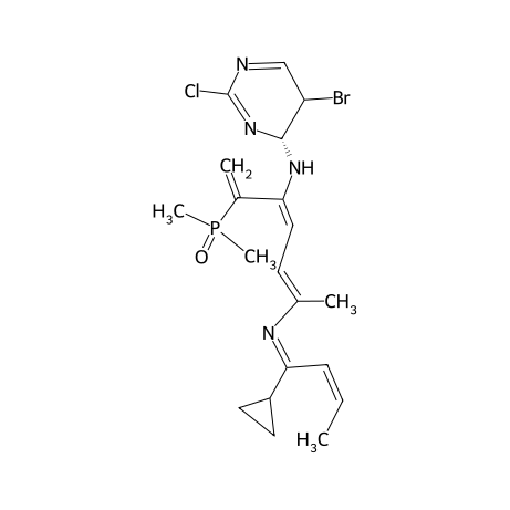 C=C(\C(=C/C=C(C)/N=C(\C=C/C)C1CC1)N[C@@H]1N=C(Cl)N=CC1Br)P(C)(C)=O